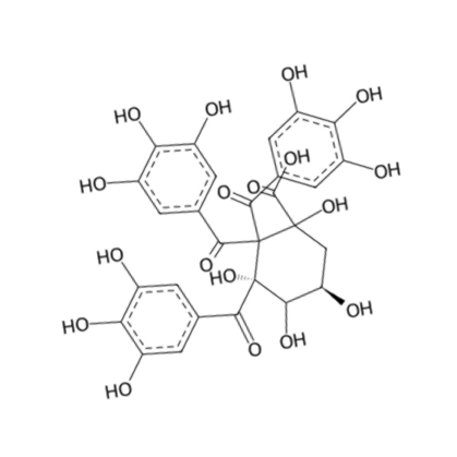 O=C(O)C1(O)C[C@@H](O)C(O)[C@@](O)(C(=O)c2cc(O)c(O)c(O)c2)C1(C(=O)c1cc(O)c(O)c(O)c1)C(=O)c1cc(O)c(O)c(O)c1